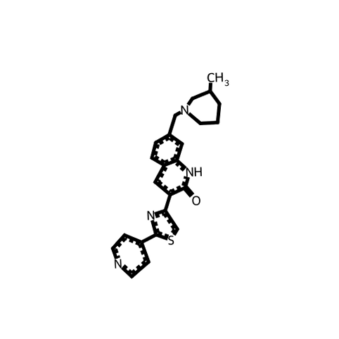 CC1CCCN(Cc2ccc3cc(-c4csc(-c5ccncc5)n4)c(=O)[nH]c3c2)C1